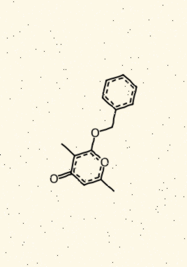 Cc1cc(=O)c(C)c(OCc2ccccc2)o1